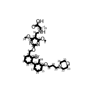 COc1nc(OCc2cccc(-c3cccc(OCCCN4CCOCC4)c3C)c2Br)nc(OC)c1CN[C@@H](C)C(=O)O